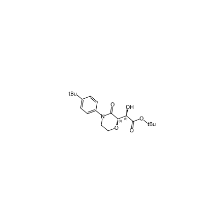 CC(C)(C)OC(=O)[C@H](O)[C@H]1OCCN(c2ccc(C(C)(C)C)cc2)C1=O